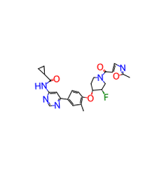 Cc1ncc(C(=O)N2CC[C@H](Oc3ccc(-c4cc(NC(=O)C5CC5)ncn4)cc3C)[C@H](F)C2)o1